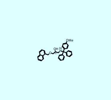 COc1ccc(C(NC[C@H](O)COCc2cccc3ccccc23)(c2ccccc2)c2ccccc2)cc1